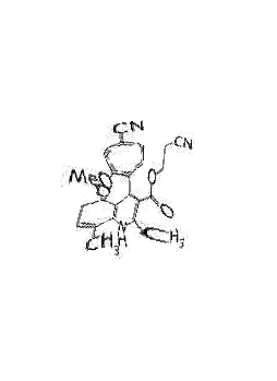 COc1cc(C#N)ccc1C1C(C(=O)OCCC#N)=C(C)NC2=C1C(=O)CC=C2C